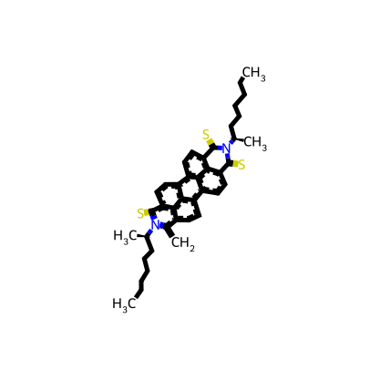 C=c1c2ccc3c4ccc5c6c(ccc(c7ccc(c(=S)n1[C@H](C)CCCCCC)c2c37)c64)C(=S)N([C@H](C)CCCCCC)C5=S